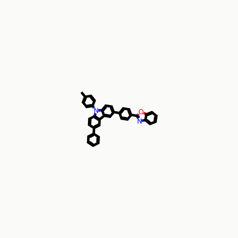 Cc1ccc(-n2c3ccc(-c4ccccc4)cc3c3cc(-c4ccc(-c5nc6ccccc6o5)cc4)ccc32)cc1